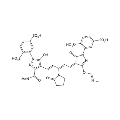 CN=COC1=NN(c2cc(S(=O)(=O)O)ccc2S(=O)(=O)O)C(=O)/C1=C\C=C(C=Cc1c(C(=O)NC)nn(-c2cc(S(=O)(=O)O)ccc2S(=O)(=O)O)c1O)N1CCCC1=O